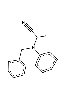 CC(C#N)N(Cc1ccccc1)c1ccccc1